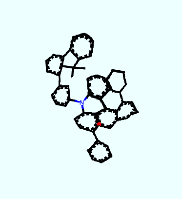 CC1(C)c2ccccc2-c2cccc(-c3cccc(N(c4ccc(-c5ccccc5)cc4)c4ccccc4-c4cccc5cccc(C6CCCCC6)c45)c3)c21